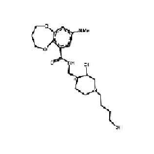 CNc1cc2c(c(C(=O)NC[C@@H]3CCN(CCCCO)CC3O)c1)OCCCO2